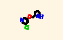 Clc1cncc(OCC2CCCN2)c1